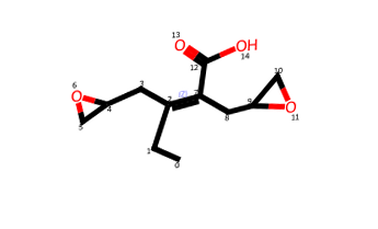 CC/C(CC1CO1)=C(\CC1CO1)C(=O)O